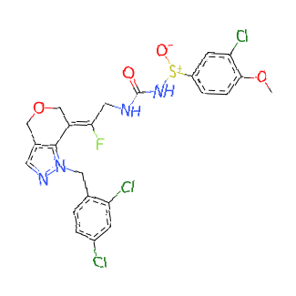 COc1ccc([S+]([O-])NC(=O)NC/C(F)=C2\COCc3cnn(Cc4ccc(Cl)cc4Cl)c32)cc1Cl